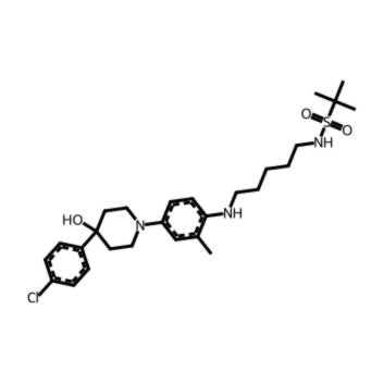 Cc1cc(N2CCC(O)(c3ccc(Cl)cc3)CC2)ccc1NCCCCCNS(=O)(=O)C(C)(C)C